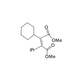 COC(=O)/C(=C(\C(=O)OC)C1CCCCC1)C(C)C